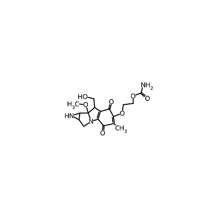 COC12C(CO)C3=C(C(=O)C(C)=C(OCCOC(N)=O)C3=O)N1CC1NC12